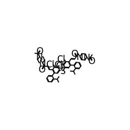 CC(=O)N1CCN(C(=O)/C=C/c2c(-c3ccccc3C(C)C)cc(Sc3cc(-c4ccccc4C(C)C)c(/C=C/C(=O)N4CCN(C(C)=O)CC4)c(Cl)c3Cl)c(Cl)c2Cl)CC1